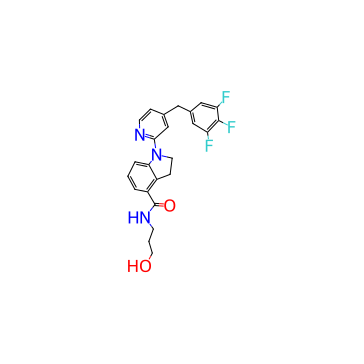 O=C(NCCCO)c1cccc2c1CCN2c1cc(Cc2cc(F)c(F)c(F)c2)ccn1